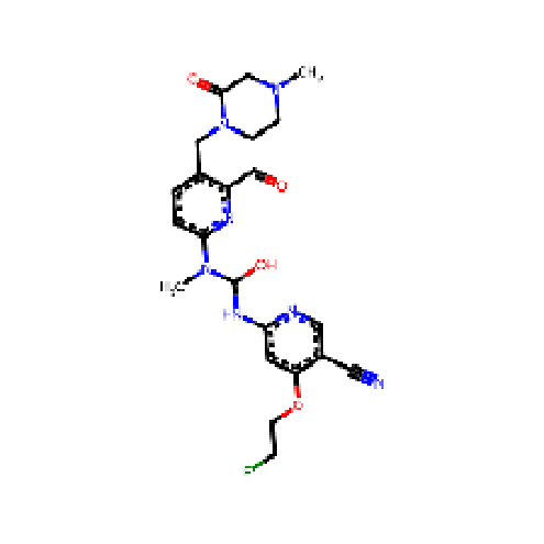 CN1CCN(Cc2ccc(N(C)C(O)Nc3cc(OCCF)c(C#N)cn3)nc2C=O)C(=O)C1